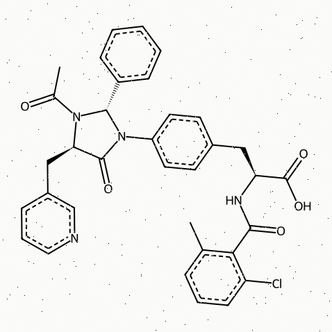 CC(=O)N1[C@H](Cc2cccnc2)C(=O)N(c2ccc(C[C@H](NC(=O)c3c(C)cccc3Cl)C(=O)O)cc2)[C@H]1c1ccccc1